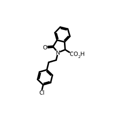 O=C(O)C1c2ccccc2C(=O)N1CCc1ccc(Cl)cc1